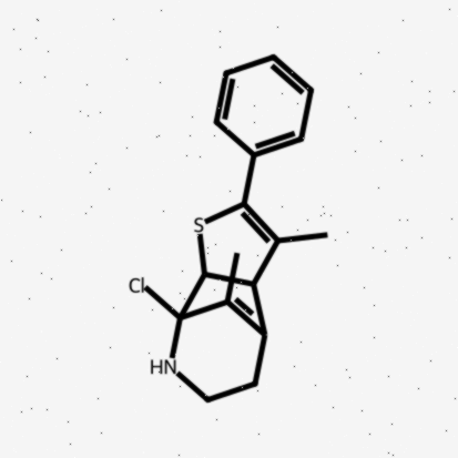 CC1=C(c2ccccc2)SC2C1C1=C(C)C2(Cl)NCC1